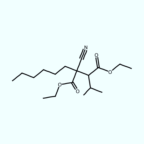 CCCCCCC(C#N)(C(=O)OCC)C(C(=O)OCC)C(C)C